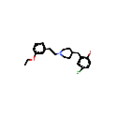 CCOc1cccc(CCN2CCC(Cc3cc(Cl)ccc3Br)CC2)c1